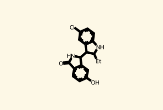 CCC1Nc2ccc(Cl)cc2C1C1NC(=O)c2ccc(O)cc21